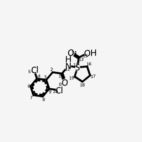 O=C(Cc1c(Cl)cccc1Cl)NS1(C(=O)O)CCCC1